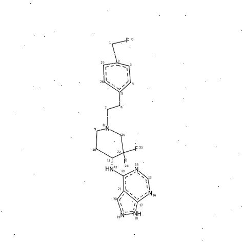 FCc1ccc(CCN2CC[C@@H](Nc3ncnc4[nH]ncc34)C(F)(F)C2)cc1